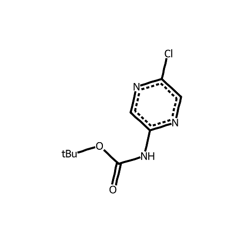 CC(C)(C)OC(=O)Nc1cnc(Cl)cn1